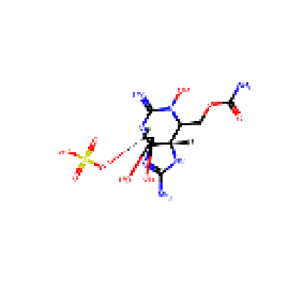 N=C1N(O)[C@@H](COC(N)=O)[C@@H]2NC(N)=NC23N1C[C@@H](OS(=O)(=O)O)C3(O)O